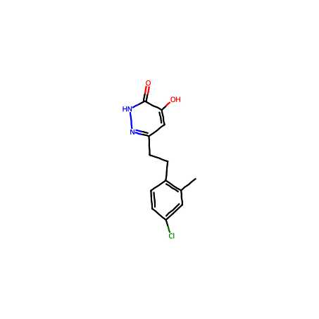 Cc1cc(Cl)ccc1CCc1cc(O)c(=O)[nH]n1